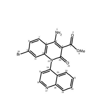 COC(=O)c1c(N)c2ccc(Br)cc2n(-c2ccnc3ccccc23)c1=O